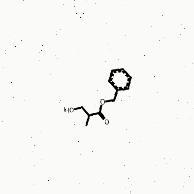 CC(CO)C(=O)OCc1ccccc1